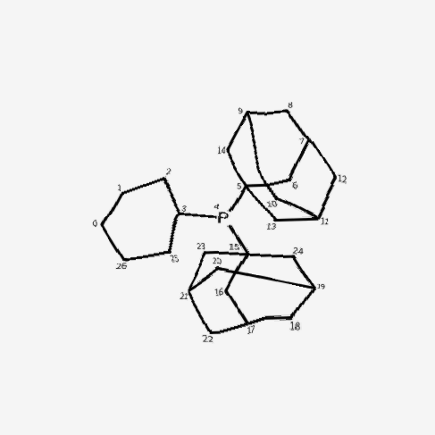 C1CCC(P(C23CC4CC(CC(C4)C2)C3)C23CC4CC(CC(C4)C2)C3)CC1